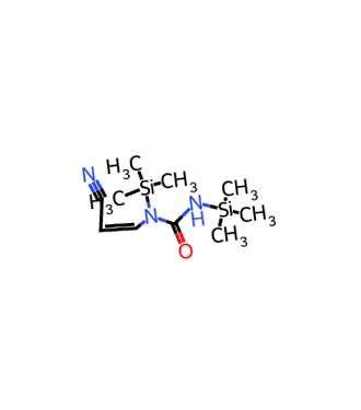 C[Si](C)(C)NC(=O)N(/C=C\C#N)[Si](C)(C)C